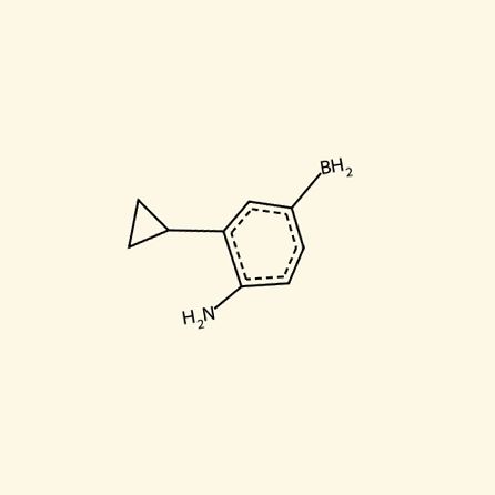 Bc1ccc(N)c(C2CC2)c1